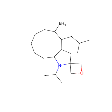 BC1CCCCCC2C(CC3(COC3)N2C(C)C)C1CC(C)C